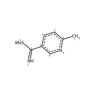 CSC(=N)c1ccc(C)nc1